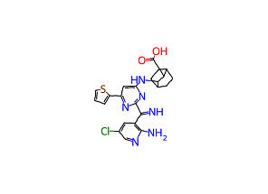 N=C(c1nc(NC2C3CCC(CC3)C2C(=O)O)cc(-c2cccs2)n1)c1cc(Cl)cnc1N